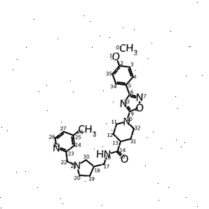 COc1ccc(-c2noc(N3CCC(C(=O)NCC4CCN(Cc5cc(C)ccn5)C4)CC3)n2)cc1